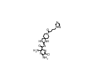 Nc1nc(N)c(C(=O)/N=C2\NCC3(CCN(C(=O)CCCn4cncn4)CC3)N2)nc1Cl